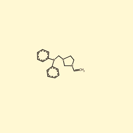 C=CN1CCN(CB(c2ccccc2)c2ccccc2)C1